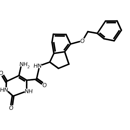 Nc1c(C(=O)NC2CCc3c(OCc4ccccc4)cccc32)[nH]c(=O)[nH]c1=O